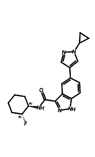 O=C(N[C@@H]1CCCC[C@H]1F)c1n[nH]c2ccc(-c3cnn(C4CC4)c3)cc12